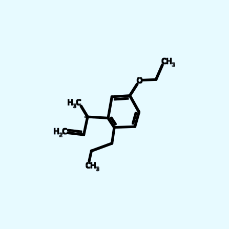 C=C[C](C)c1cc(OCC)ccc1CCC